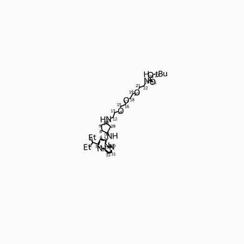 CCC(CC)c1cc(N[C@H]2CC[C@H](NCCOCCOCCOCCNC(=O)OC(C)(C)C)C2)n2nccc2n1